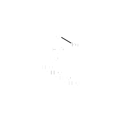 O.O.O.O.O.O.[Cl][Ru]